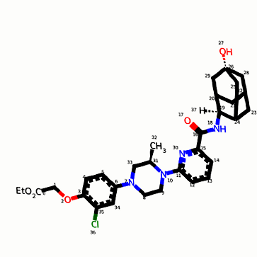 CCOC(=O)COc1ccc(N2CCN(c3cccc(C(=O)N[C@H]4C5CC6CC4C[C@](O)(C6)C5)n3)[C@H](C)C2)cc1Cl